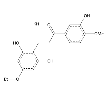 [CH2]COc1cc(O)c(CCC(=O)c2ccc(OC)c(O)c2)c(O)c1.[KH]